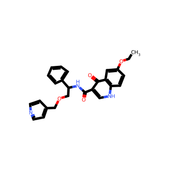 CCOc1ccc2[nH]cc(C(=O)NC(COCc3ccncc3)c3ccccc3)c(=O)c2c1